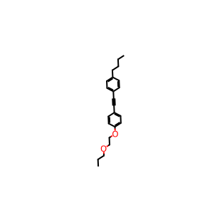 CCCCc1ccc(C#Cc2ccc(OCCOCCC)cc2)cc1